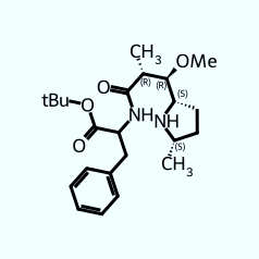 CO[C@@H]([C@@H]1CC[C@H](C)N1)[C@@H](C)C(=O)NC(Cc1ccccc1)C(=O)OC(C)(C)C